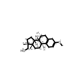 COC1=CCC2=C(C1)C[C@@H](C)[C@@H]1[C@@H]2CC[C@@]2(C)[C@@H]1CC[C@@]2(C)CO